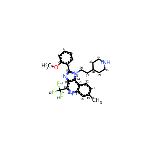 COc1ccccc1-c1nc2c(C(F)(F)F)nc3cc(C)ccc3c2n1CCC1CCNCC1